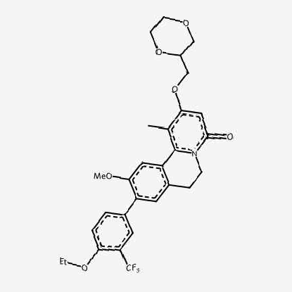 CCOc1ccc(-c2cc3c(cc2OC)-c2c(C)c(OCC4COCCO4)cc(=O)n2CC3)cc1C(F)(F)F